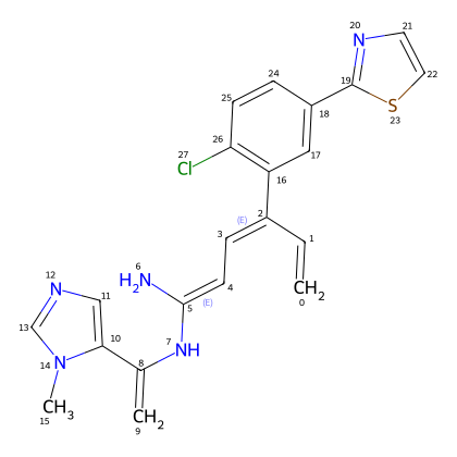 C=C/C(=C\C=C(/N)NC(=C)c1cncn1C)c1cc(-c2nccs2)ccc1Cl